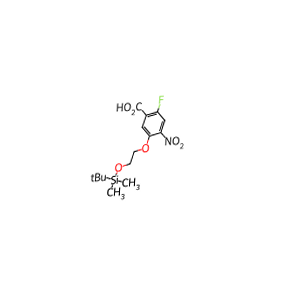 CC(C)(C)[Si](C)(C)OCCOc1cc(C(=O)O)c(F)cc1[N+](=O)[O-]